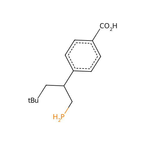 CC(C)(C)CC(CP)c1ccc(C(=O)O)cc1